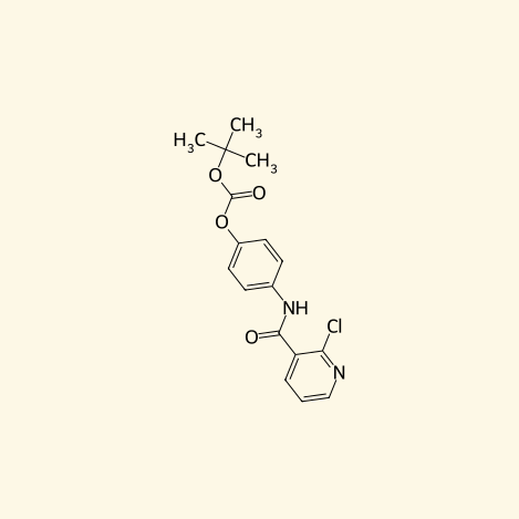 CC(C)(C)OC(=O)Oc1ccc(NC(=O)c2cccnc2Cl)cc1